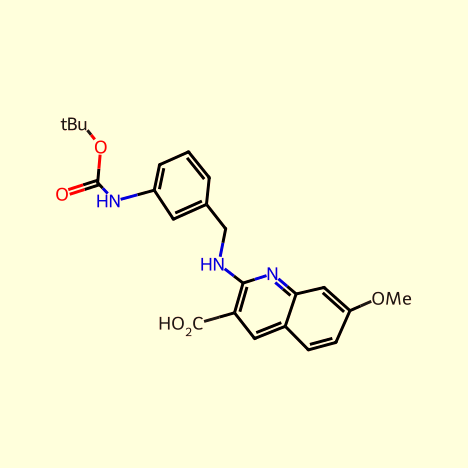 COc1ccc2cc(C(=O)O)c(NCc3cccc(NC(=O)OC(C)(C)C)c3)nc2c1